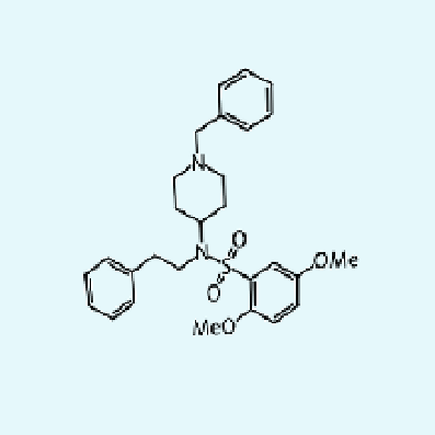 COc1ccc(OC)c(S(=O)(=O)N(CCc2ccccc2)C2CCN(Cc3ccccc3)CC2)c1